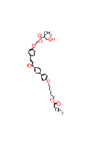 C=CC(=O)OCCCCCCOc1ccc(-c2ccc(C(=O)/C=C/c3ccc(OCCOC(=O)C(=C)CO)cc3)cc2)cc1